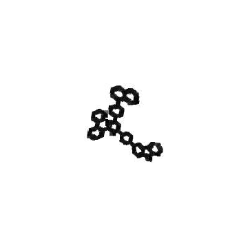 c1cncc(-c2ccccc2-c2nc(-c3ccc(-c4ccc5oc6ccccc6c5c4)cc3)cc(-c3ccc(-c4cccc5ccccc45)cc3)n2)c1